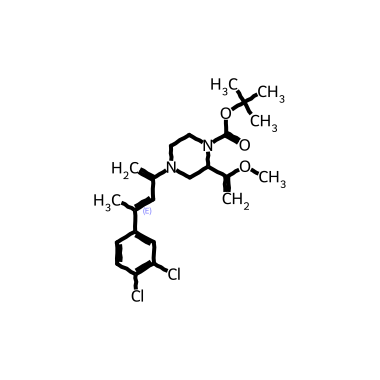 C=C(OC)C1CN(C(=C)/C=C(\C)c2ccc(Cl)c(Cl)c2)CCN1C(=O)OC(C)(C)C